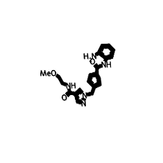 COCCNC(=O)c1cnn(Cc2ccc(C(=O)Nc3ccccc3N)cc2)c1